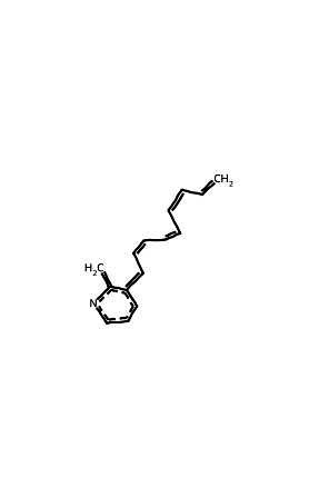 C=C\C=C/C=C\C=C/C=c1/cccnc1=C